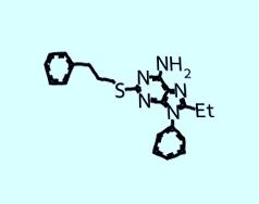 CCc1nc2c(N)nc(SCCCc3ccccc3)nc2n1-c1ccccc1